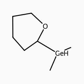 [CH3][GeH]([CH3])[CH]1CCCCO1